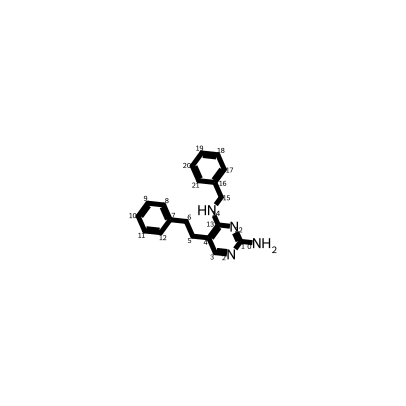 Nc1ncc(CCc2ccccc2)c(NCc2ccccc2)n1